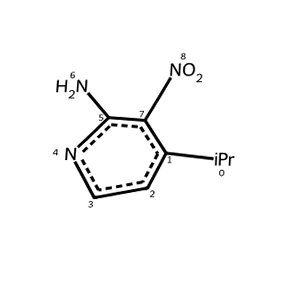 CC(C)c1ccnc(N)c1[N+](=O)[O-]